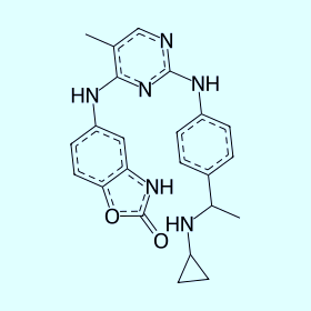 Cc1cnc(Nc2ccc(C(C)NC3CC3)cc2)nc1Nc1ccc2oc(=O)[nH]c2c1